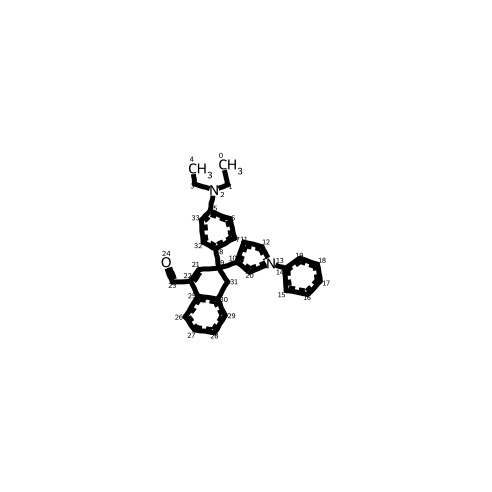 CCN(CC)c1ccc(C2(c3ccn(-c4ccccc4)c3)C=C(C=O)c3ccccc3C2)cc1